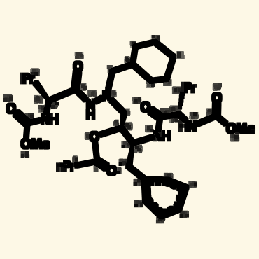 CCCC(=O)O[C@@H](CN(CC1CCCCC1)NC(=O)[C@@H](NC(=O)OC)C(C)C)[C@H](Cc1ccccc1)NC(=O)[C@@H](NC(=O)OC)C(C)C